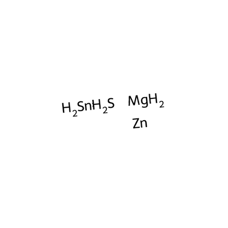 S.[MgH2].[SnH2].[Zn]